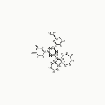 C=C/C=C\C(=C/C=C)c1nc(C(/C=C\C)=C/C=C\C)nc(-n2c3c(c4ccccc42)CCCCCC3)n1